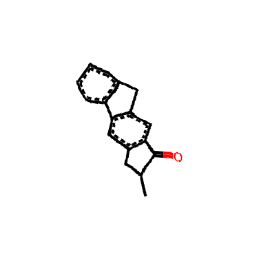 CC1Cc2cc3c(cc2C1=O)Cc1ccccc1-3